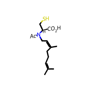 CC(=O)N(CC=C(C)CCC=C(C)C)[C@@H](CS)C(=O)O